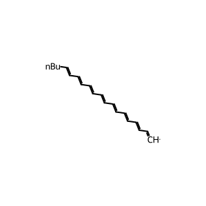 [CH]=CC=CC=CC=CC=CC=CC=CC=CCCCC